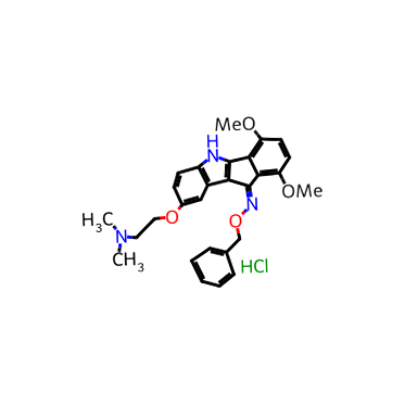 COc1ccc(OC)c2c1/C(=N/OCc1ccccc1)c1c-2[nH]c2ccc(OCCN(C)C)cc12.Cl